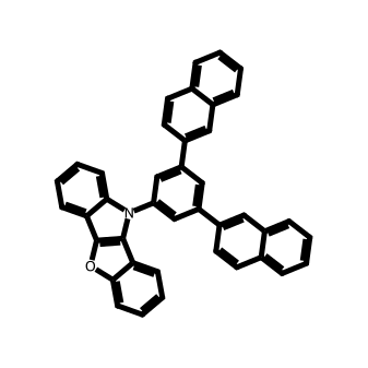 c1ccc2cc(-c3cc(-c4ccc5ccccc5c4)cc(-n4c5ccccc5c5oc6ccccc6c54)c3)ccc2c1